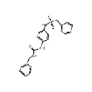 O=C(NCc1ccccc1)Nc1ccc(NS(=O)(=O)Cc2ccccc2)cc1